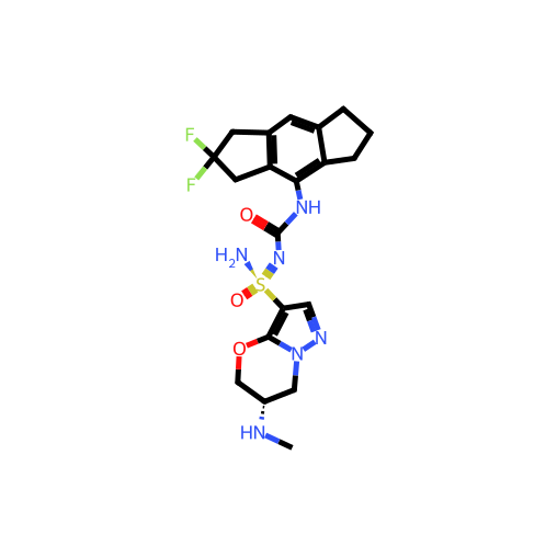 CN[C@@H]1COc2c([S@](N)(=O)=NC(=O)Nc3c4c(cc5c3CC(F)(F)C5)CCC4)cnn2C1